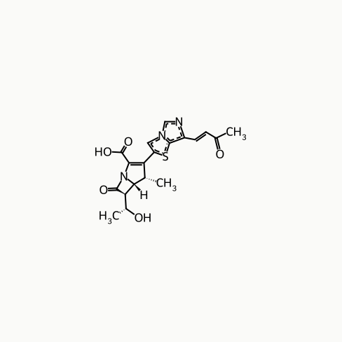 CC(=O)/C=C/c1ncn2cc(C3=C(C(=O)O)N4C(=O)[C@H]([C@@H](C)O)[C@H]4[C@H]3C)sc12